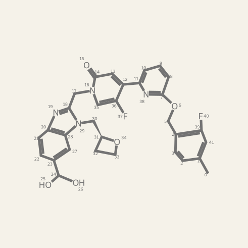 Cc1ccc(COc2cccc(-c3cc(=O)n(Cc4nc5ccc(C(O)O)cc5n4C[C@@H]4CCO4)cc3F)n2)c(F)c1